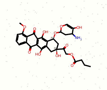 CCCC(=O)OCC(=O)[C@]1(O)Cc2c(O)c3c(c(O)c2[C@@H](OC2CC(N)C(O)=CO2)C1)C(=O)c1c(OC)cccc1C3=O